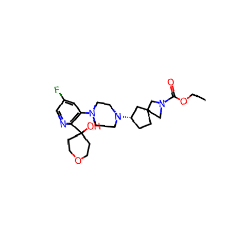 CCOC(=O)N1CC2(CC[C@H](N3CCN(c4cc(F)cnc4C4(O)CCOCC4)CC3)C2)C1